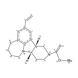 C=Cc1cc2c3c(c1)[C@@H]1CN(C(=O)OC(C)(C)C)CC[C@@H]1N3CCCS2